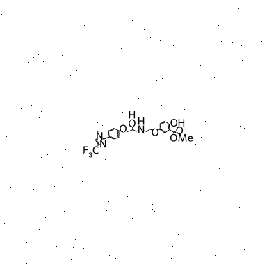 COC(=O)c1cc(OCCNCC(O)COc2ccc(-c3nc(C(F)(F)F)cn3C)cc2)ccc1O